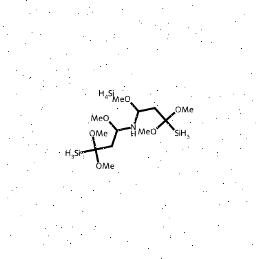 COC(CC([SiH3])(OC)OC)NC(CC([SiH3])(OC)OC)OC.[SiH4]